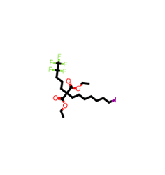 CCOC(=O)C(CCCCCCCI)(CCCC(F)(F)C(F)(F)F)C(=O)OCC